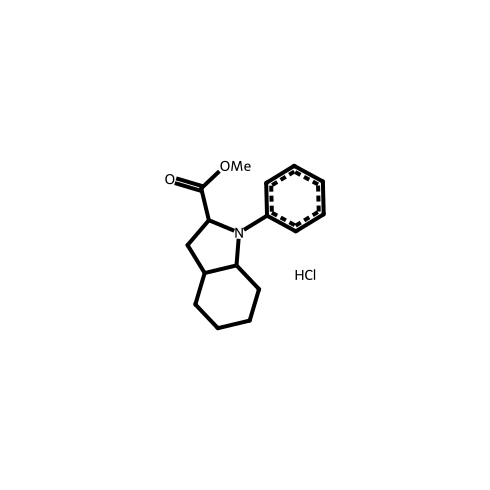 COC(=O)C1CC2CCCCC2N1c1ccccc1.Cl